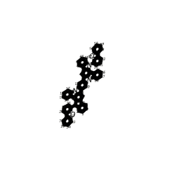 c1ccc2c(c1)-c1cc3c4cc5c(cc4n4c6ccccc6c(c1C2c1cccc2c1oc1ccccc12)c34)c1cc2c3ccccc3n(-c3cccc4c3oc3ccccc34)c2c2c3ccccc3n5c12